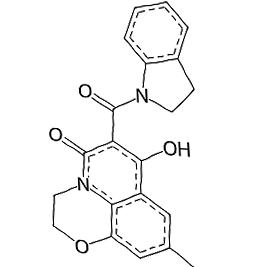 Cc1cc2c3c(c1)c(O)c(C(=O)N1CCc4ccccc41)c(=O)n3CCO2